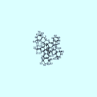 Cc1cc2c(cc1N1c3cc4c(cc3B3c5c(cc(C(C)(C)C)cc51)-c1cc5c(cc1N3c1ccc3c(c1)C(C)(C)CCC3(C)C)C(C)(C)CCC5(C)C)C(C)(C)c1ccccc1-4)C(C)(C)CCC2(C)C